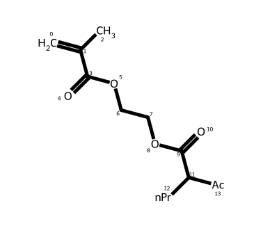 C=C(C)C(=O)OCCOC(=O)C(CCC)C(C)=O